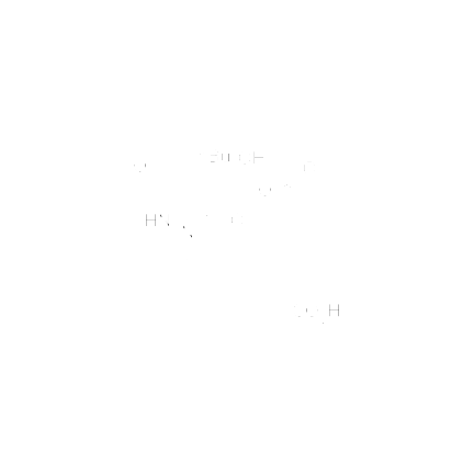 CCCCC1C(=O)NN(c2ccccc2)C1=O.O=C(O)CCCCC(=O)OO